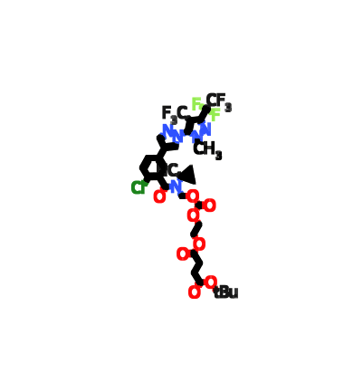 Cn1nc(C(F)(F)C(F)(F)F)c(C(F)(F)F)c1-n1cc(-c2ccc(Cl)c(C(=O)N(COC(=O)OCCOC(=O)CCC(=O)OC(C)(C)C)C3(C#N)CC3)c2)cn1